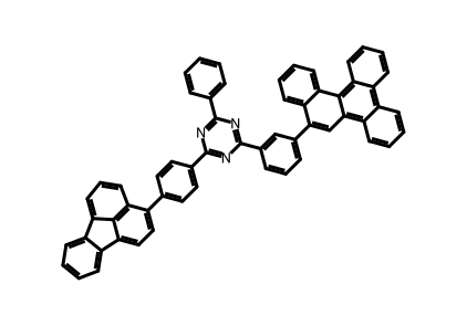 c1ccc(-c2nc(-c3ccc(-c4ccc5c6c(cccc46)-c4ccccc4-5)cc3)nc(-c3cccc(-c4cc5c6ccccc6c6ccccc6c5c5ccccc45)c3)n2)cc1